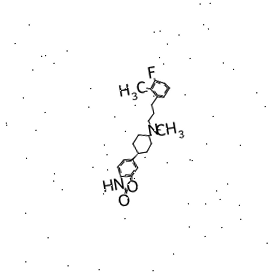 Cc1c(F)cccc1CCCN(C)[C@H]1CC[C@H](c2ccc3[nH]c(=O)oc3c2)CC1